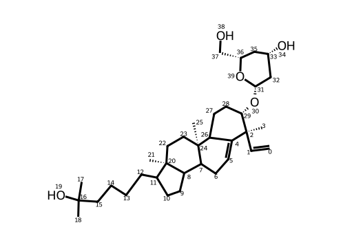 C=C[C@@]1(C)C2=CCC3C4CCC(CCCCC(C)(C)O)[C@@]4(C)CC[C@@]3(C)C2CC[C@@H]1O[C@H]1C[C@@H](O)C[C@@H](CO)O1